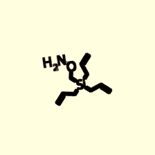 C=CC[Si](CC=C)(CC=C)CON